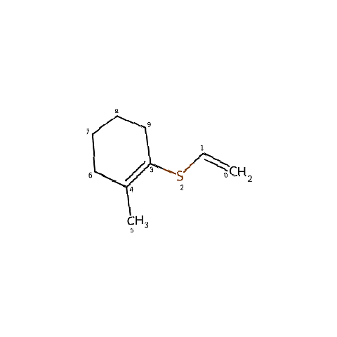 C=CSC1=C(C)CCCC1